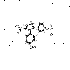 COc1ccc(-c2c(C(F)F)n[nH]c2-c2ccc([S+](C)[O-])cc2)cc1